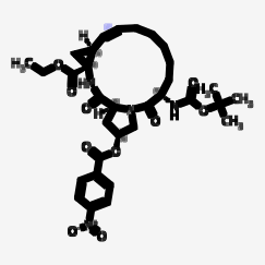 CCOC(=O)[C@@]12C[C@H]1/C=C\CCCCC[C@H](NC(=O)OC(C)(C)C)C(=O)N1C[C@@H](OC(=O)c3ccc([N+](=O)[O-])cc3)C[C@H]1C(=O)N2